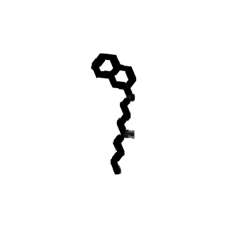 CCCCNCCCOc1ccc2ccccc2c1